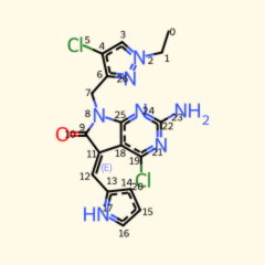 CCn1cc(Cl)c(CN2C(=O)/C(=C/c3ccc[nH]3)c3c(Cl)nc(N)nc32)n1